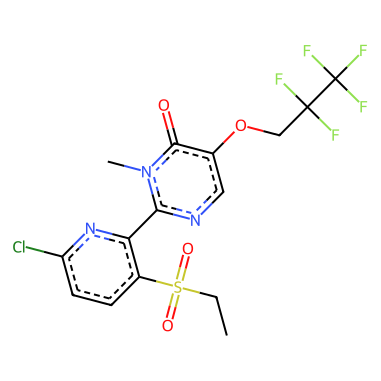 CCS(=O)(=O)c1ccc(Cl)nc1-c1ncc(OCC(F)(F)C(F)(F)F)c(=O)n1C